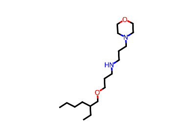 CCCCC(CC)COCCCNCCCN1CCOCC1